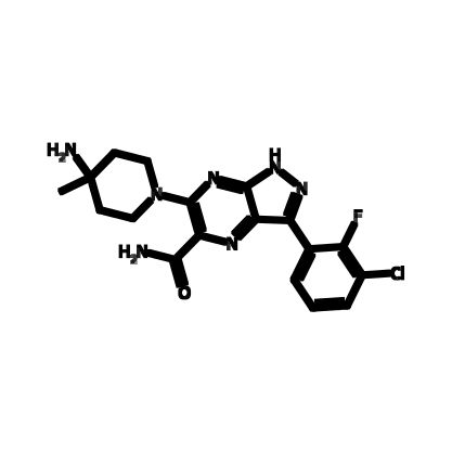 CC1(N)CCN(c2nc3[nH]nc(-c4cccc(Cl)c4F)c3nc2C(N)=O)CC1